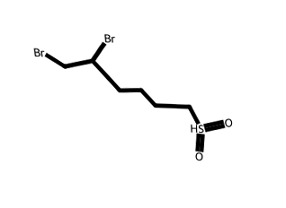 O=[SH](=O)CCCCC(Br)CBr